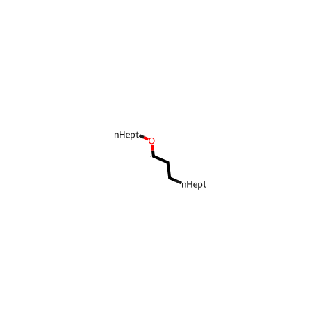 CCCCCCCCC[CH]OCCCCCCC